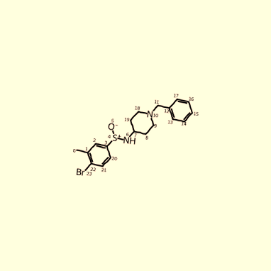 Cc1cc([S+]([O-])NC2CCN(Cc3ccccc3)CC2)ccc1Br